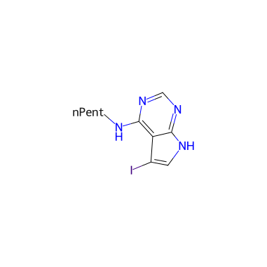 CCCCCNc1ncnc2[nH]cc(I)c12